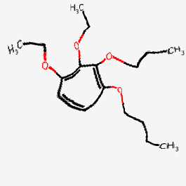 CCCCOc1ccc(OCC)c(OCC)c1OCCC